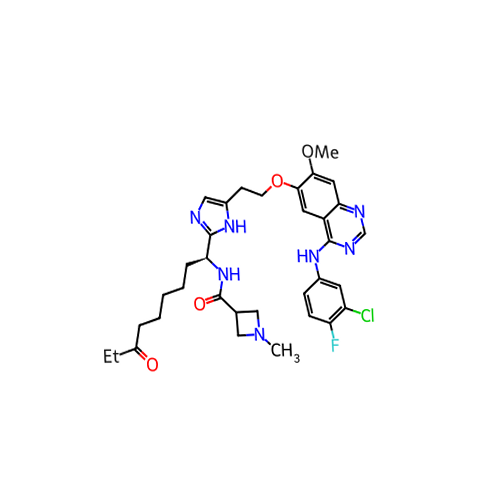 CCC(=O)CCCCC[C@H](NC(=O)C1CN(C)C1)c1ncc(CCOc2cc3c(Nc4ccc(F)c(Cl)c4)ncnc3cc2OC)[nH]1